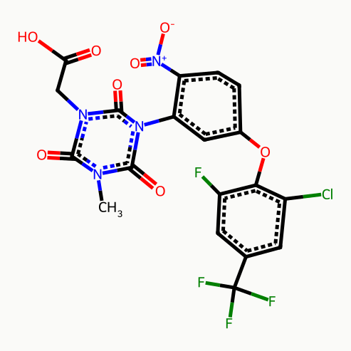 Cn1c(=O)n(CC(=O)O)c(=O)n(-c2cc(Oc3c(F)cc(C(F)(F)F)cc3Cl)ccc2[N+](=O)[O-])c1=O